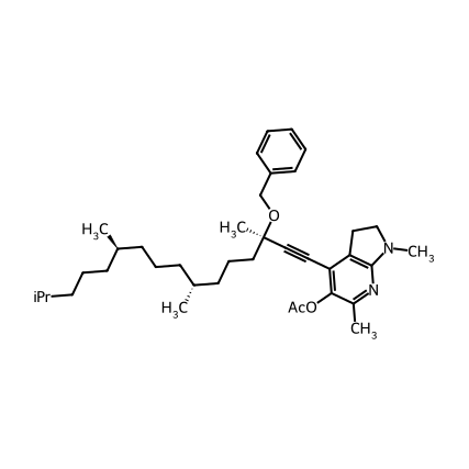 CC(=O)Oc1c(C)nc2c(c1C#C[C@@](C)(CCC[C@H](C)CCC[C@H](C)CCCC(C)C)OCc1ccccc1)CCN2C